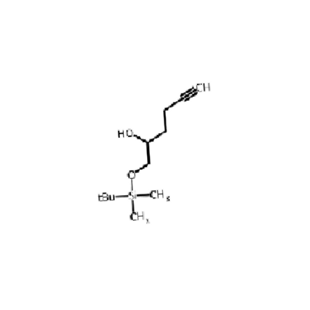 C#CCCC(O)CO[Si](C)(C)C(C)(C)C